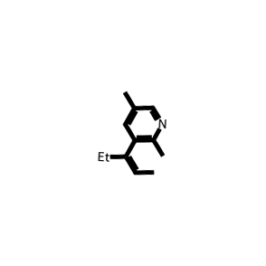 C/C=C(/CC)c1cc(C)cnc1C